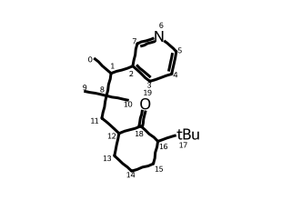 CC(c1cccnc1)C(C)(C)CC1CCCC(C(C)(C)C)C1=O